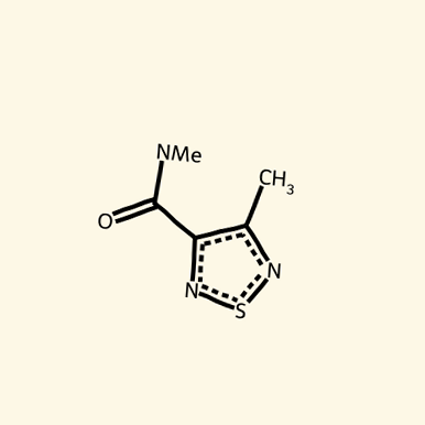 CNC(=O)c1nsnc1C